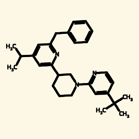 CC(C)c1cc(Cc2ccccc2)nc(C2CCCN(c3cc(C(C)(C)C)ccn3)C2)c1